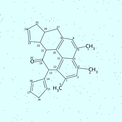 Cc1cc(C)c2c(C)cc3c4c2c1C(C1=CCC=C1)C(=O)C4C1C=CCC1C3